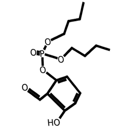 CCCCOP(=O)(OCCCC)Oc1cccc(O)c1C=O